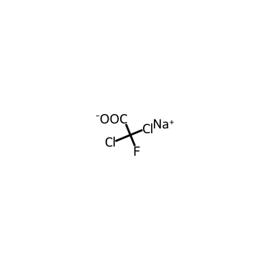 O=C([O-])C(F)(Cl)Cl.[Na+]